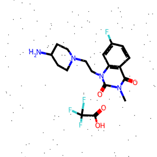 Cn1c(=O)c2ccc(F)cc2n(CCN2CCC(N)CC2)c1=O.O=C(O)C(F)(F)F